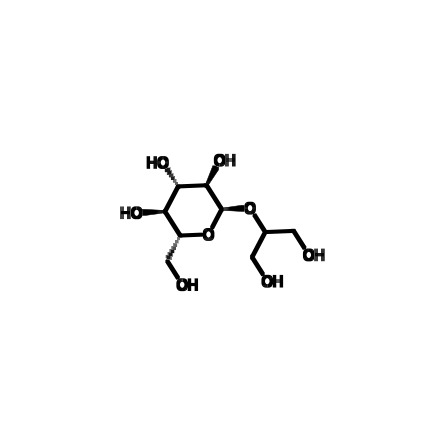 OCC(CO)O[C@H]1O[C@H](CO)[C@@H](O)[C@H](O)[C@H]1O